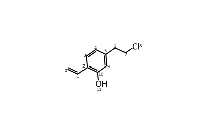 C=Cc1ccc(CCCl)cc1O